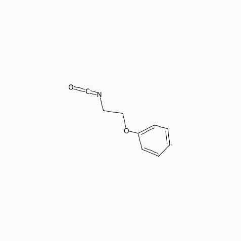 O=C=NCCOc1cc[c]cc1